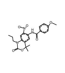 CCCN1C(=O)OC(C)(C)c2cc(NC(=O)c3ccc(OC)cc3)c([N+](=O)[O-])cc21